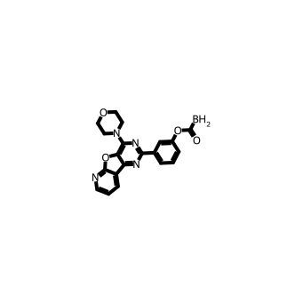 BC(=O)Oc1cccc(-c2nc(N3CCOCC3)c3oc4ncccc4c3n2)c1